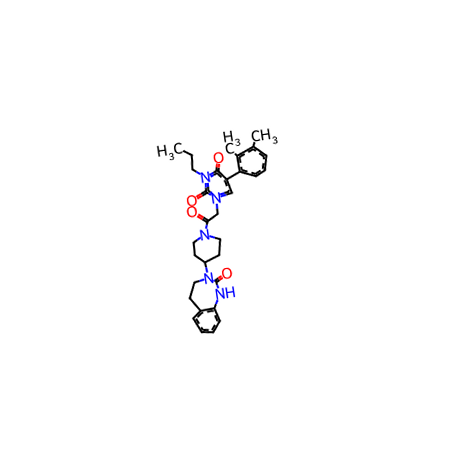 CCCn1c(=O)c(-c2cccc(C)c2C)cn(CC(=O)N2CCC(N3CCc4ccccc4NC3=O)CC2)c1=O